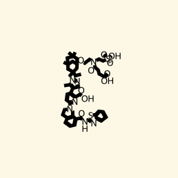 CCC1(Cn2ncc(-c3ccc(N4CCc5cccc(C(=O)Nc6nc7ccccc7s6)c5C4)nc3C(=O)O)c2C)CC2(C)CC(C)(C)CC(OCCN(CCS(=O)(=O)O)C(=O)CCC(=O)O)(C2)C1